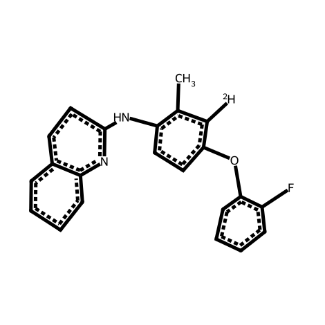 [2H]c1c(Oc2ccccc2F)ccc(Nc2ccc3ccccc3n2)c1C